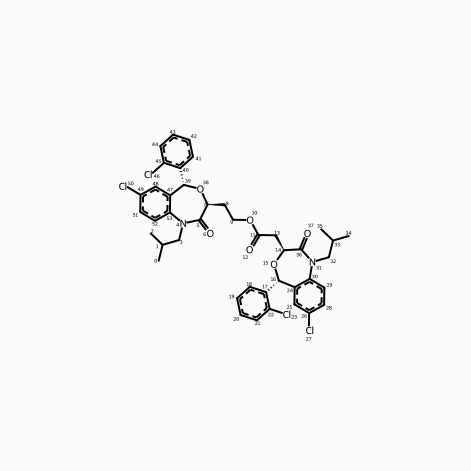 CC(C)CN1C(=O)[C@H](CCOC(=O)C[C@@H]2O[C@@H](c3ccccc3Cl)c3cc(Cl)ccc3N(CC(C)C)C2=O)O[C@@H](c2ccccc2Cl)c2cc(Cl)ccc21